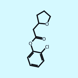 O=C(CC1CCCO1)Oc1ccccc1Cl